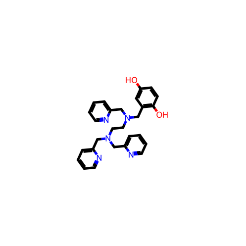 Oc1ccc(O)c(CN(CCN(Cc2ccccn2)Cc2ccccn2)Cc2ccccn2)c1